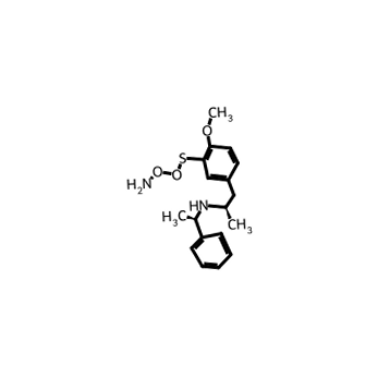 COc1ccc(C[C@@H](C)N[C@H](C)c2ccccc2)cc1SOON